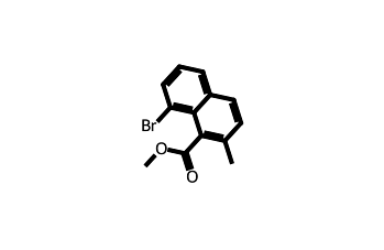 COC(=O)c1c(C)ccc2cccc(Br)c12